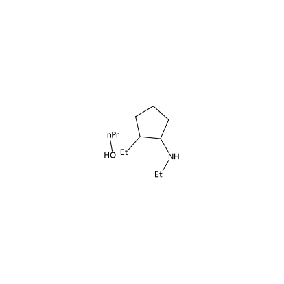 CCCO.CCNC1CCCC1CC